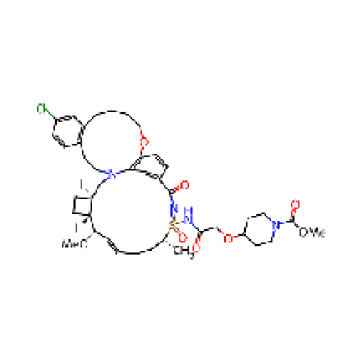 COC(=O)N1CCC(OCC(=O)NS2(=O)=NC(=O)c3ccc4c(c3)N(CCc3ccc(Cl)cc3CCCCO4)C[C@@H]3CC[C@H]3[C@@H](OC)/C=C/CC[C@H]2C)CC1